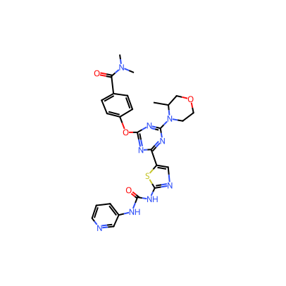 CC1COCCN1c1nc(Oc2ccc(C(=O)N(C)C)cc2)nc(-c2cnc(NC(=O)Nc3cccnc3)s2)n1